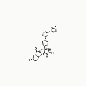 Cc1nc(-c2cccc(-c3ccc([C@@]4(CN5Cc6ccc(F)cc6C5=O)NC(=O)NC4=O)cc3)c2)cs1